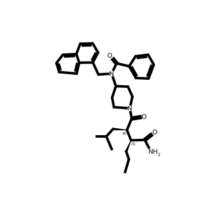 CCC[C@H](C(N)=O)[C@@H](CC(C)C)C(=O)N1CCC(N(Cc2cccc3ccccc23)C(=O)c2ccccc2)CC1